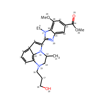 CCn1c(-c2cc3cccc4c3n2C(C)CN4CCCO)nc2cc(C(=O)OC)cc(OC)c21